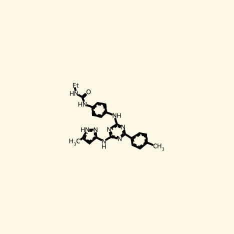 CCNC(=O)Nc1ccc(Nc2nc(Nc3cc(C)[nH]n3)nc(-c3ccc(C)cc3)n2)cc1